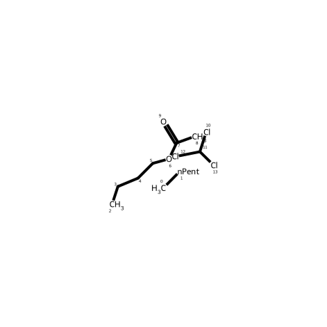 CCCCCC.CCCCOC(C)=O.ClC(Cl)Cl